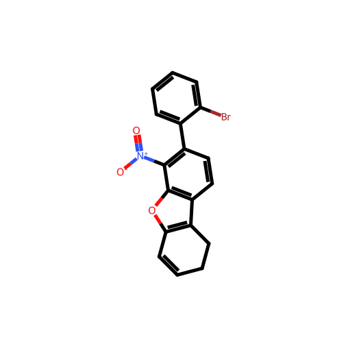 O=[N+]([O-])c1c(-c2ccccc2Br)ccc2c3c(oc12)C=CCC3